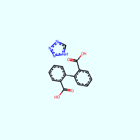 O=C(O)c1ccccc1-c1ccccc1C(=O)O.c1nnn[nH]1